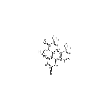 CC1=CN(c2ccccc2C)C(c2c(F)cc(F)cc2F)C(C)C1=O